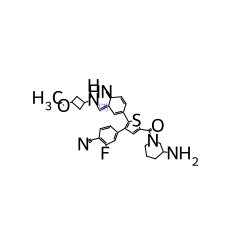 COC1CC(N/C=C2/C=C(c3sc(C(=O)N4CCCC(N)C4)cc3-c3ccc(C#N)c(F)c3)C=CC2=N)C1